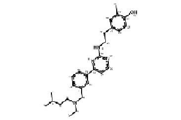 CCN(CCC(C)C)Cc1cccc(-c2ccnc(NCCc3ccc(O)c(C)c3)n2)c1